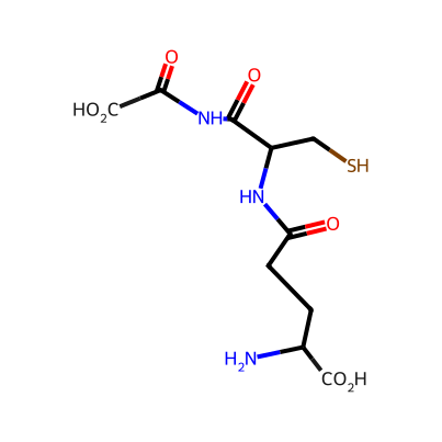 NC(CCC(=O)NC(CS)C(=O)NC(=O)C(=O)O)C(=O)O